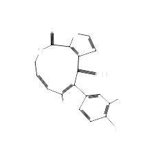 C=C1/C(c2ccc(F)c(Cl)c2)=C(O)\C=C/CNC(=O)c2sccc21